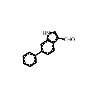 O=Cc1c[nH]c2cc(-c3ccccc3)ccc12